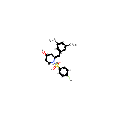 COc1cc(C=C2CC(=O)CCN2S(=O)(=O)c2ccc(F)cc2)cc(OC)c1